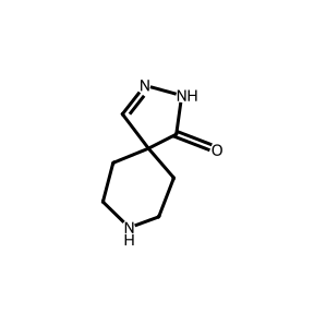 O=C1NN=CC12CCNCC2